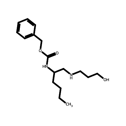 CCCCC(CNCCCO)NC(=O)OCc1ccccc1